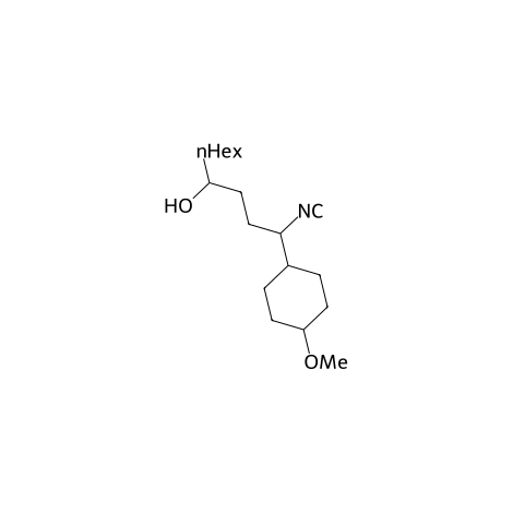 [C-]#[N+]C(CCC(O)CCCCCC)C1CCC(OC)CC1